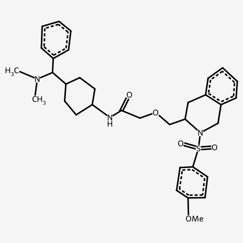 COc1ccc(S(=O)(=O)N2Cc3ccccc3CC2COCC(=O)NC2CCC(C(c3ccccc3)N(C)C)CC2)cc1